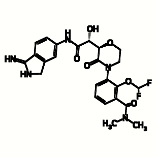 CN(C)C(=O)c1cccc(N2CCO[C@H]([C@@H](O)C(=O)Nc3ccc4c(c3)CNC4=N)C2=O)c1OC(F)F